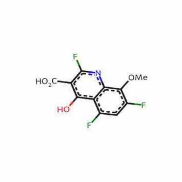 COc1c(F)cc(F)c2c(O)c(C(=O)O)c(F)nc12